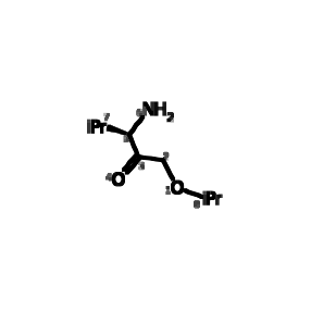 CC(C)OCC(=O)[C@H](N)C(C)C